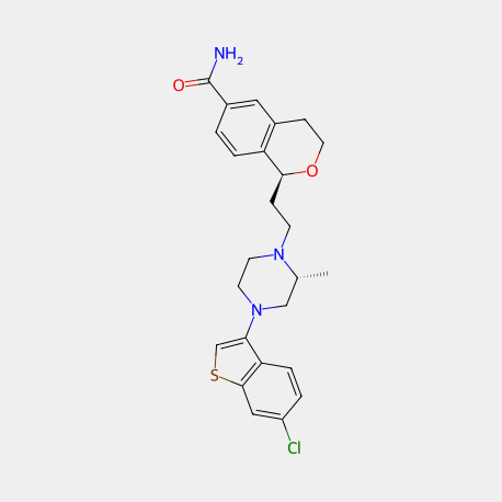 C[C@@H]1CN(c2csc3cc(Cl)ccc23)CCN1CC[C@@H]1OCCc2cc(C(N)=O)ccc21